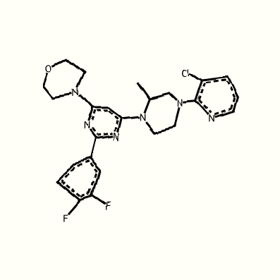 CC1CN(c2ncccc2Cl)CCN1c1cc(N2CCOCC2)nc(-c2ccc(F)c(F)c2)n1